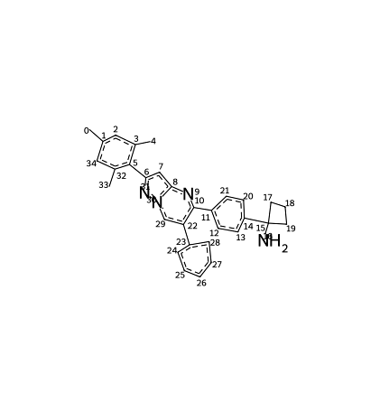 Cc1cc(C)c(-c2cc3nc(-c4ccc(C5(N)CCC5)cc4)c(-c4ccccc4)cn3n2)c(C)c1